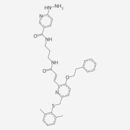 Cc1cccc(C)c1SCc1ccc(OCCc2ccccc2)c(/C=C/C(=O)NCCCNC(=O)c2ccc(NN)nc2)n1